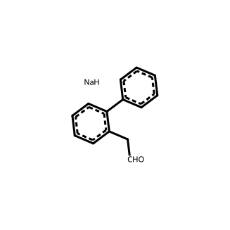 O=CCc1ccccc1-c1ccccc1.[NaH]